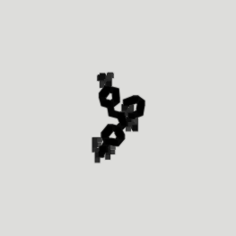 CN(C)c1ccc(Cc2c(-c3ccc(C(F)(F)F)cc3)nc3ccccn23)cc1